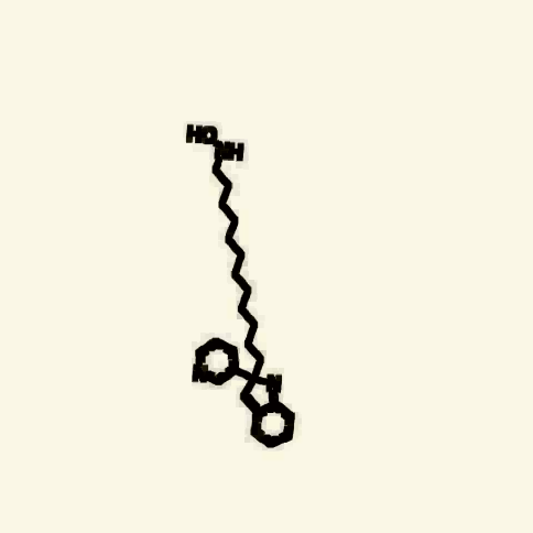 ONCCCCCCCCCCCCC1(c2cccnc2)C=c2ccccc2=N1